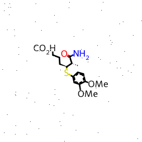 COc1ccc(S[C@@H](CCCC(=O)O)[C@@H](C)C(N)=O)cc1OC